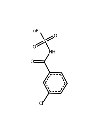 CCCS(=O)(=O)NC(=O)c1cccc(Cl)c1